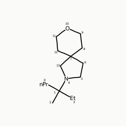 CCCC(C)(CC)N1CCC2(CCOCC2)C1